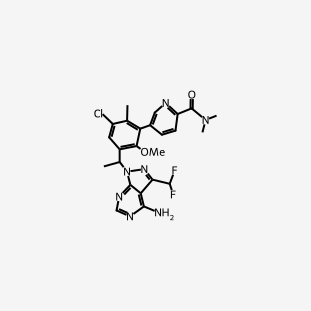 COc1c(C(C)n2nc(C(F)F)c3c(N)ncnc32)cc(Cl)c(C)c1-c1ccc(C(=O)N(C)C)nc1